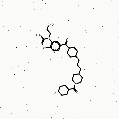 NC(=O)N(CCC=O)c1cc(C(=O)N2CCC(CCCN3CCN(C(=O)C4CCCCC4)CC3)CC2)ccc1Cl